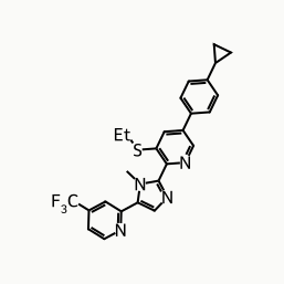 CCSc1cc(-c2ccc(C3CC3)cc2)cnc1-c1ncc(-c2cc(C(F)(F)F)ccn2)n1C